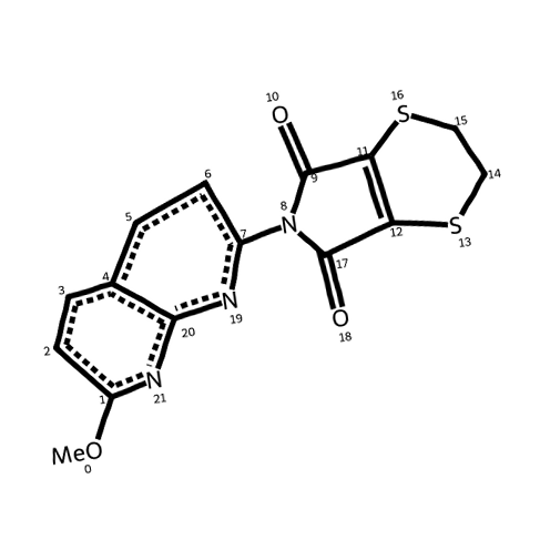 COc1ccc2ccc(N3C(=O)C4=C(SCCS4)C3=O)nc2n1